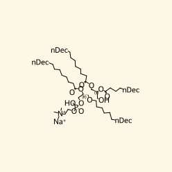 CCCCCCCCCCCCCCCCCC(=O)OC[C@H](CO)OC(=O)CCCCCCCCCCCCC.CCCCCCCCCCCCCCCCCC(=O)O[C@H](COCCCCCCCCCCCCCCCC)COP(=O)(O)OCC[N+](C)(C)C.[Na+]